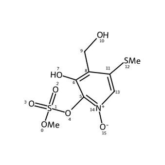 COS(=O)(=O)Oc1c(O)c(CO)c(SC)c[n+]1[O-]